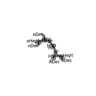 CCCCCCCCCCCCCC(=O)N[C@@H](CC[N+](C)(C)CCCNC(=O)NCCC[N+](C)(C)CC[C@@H](COCC[C@@H](CCCCCCC)OC(=O)CCCCCCCCCCC)NC(=O)CCCCCCCCCCCCC)COCC[C@@H](CCCCCCC)OC(=O)CCCCCCCCCCC